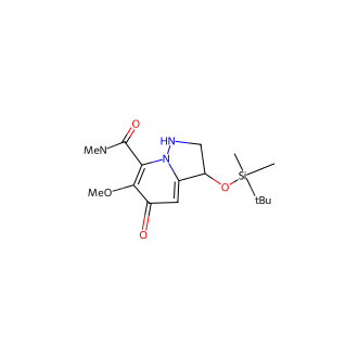 CNC(=O)c1c(OC)c(=O)cc2n1NCC2O[Si](C)(C)C(C)(C)C